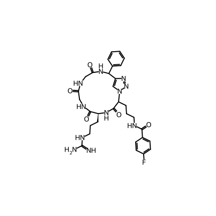 N=C(N)NCCC[C@@H]1NC(=O)C(CCCNC(=O)c2ccc(F)cc2)n2cc(nn2)C(c2ccccc2)NC(=O)CNC(=O)CNC1=O